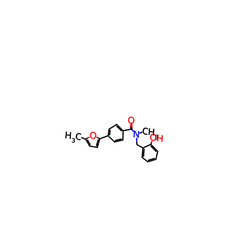 Cc1ccc(-c2ccc(C(=O)N(C)Cc3ccccc3O)cc2)o1